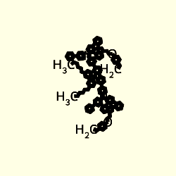 C=Cc1ccc(OCCCCC2(c3ccccc3)c3ccccc3-c3ccc(N(c4ccc(-c5ccccc5)cc4)c4ccc(-c5ccc6c(c5)C(c5ccc(CCCCCC)cc5)(c5ccc(CCCCCC)cc5)c5cc(-c7ccc(N(c8ccc(-c9ccccc9)cc8)c8ccc9c(c8)C(CCCCOc8ccc(C=C)cc8)(c8ccccc8)c8ccccc8-9)cc7)ccc5-6)cc4)cc32)cc1